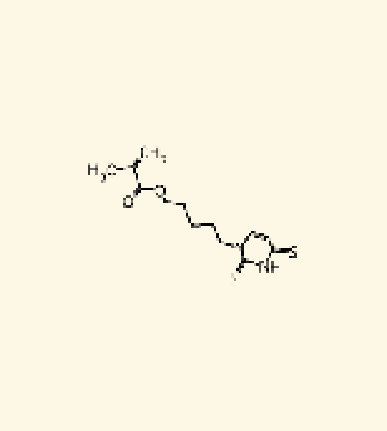 C=C(C)C(=O)OCCCCCn1ccc(=S)[nH]c1=S